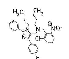 CCCCN(Cc1c(Cl)cccc1[N+](=O)[O-])Cc1c(-c2ccc(Cl)cc2)nc(-c2ccccc2)n1CCCC